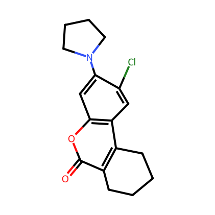 O=c1oc2cc(N3CCCC3)c(Cl)cc2c2c1CCCC2